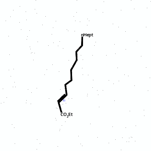 CCCCCCCCCCCCC/C=C/C(=O)OCC